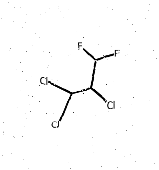 FC(F)C(Cl)C(Cl)Cl